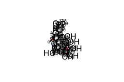 C=C1C[C@@]23CC[C@H]4[C@@](C)(CCC[C@@]4(C)C(=O)N4CCCC4C)[C@@H]2CC[C@]1(O[C@@H]1O[C@H](CO)[C@@H](O)[C@H](O[C@@H]2O[C@H](CO)[C@@H](O)[C@H](O)[C@H]2O)[C@H]1O[C@@H]1O[C@H](CO)[C@@H](O)[C@H](O)[C@H]1O)C3